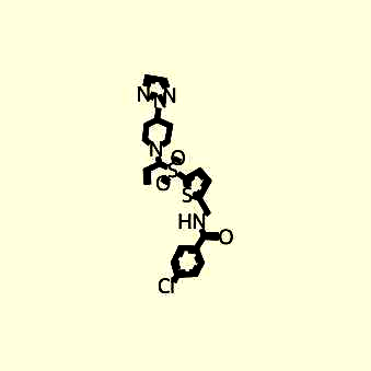 C=CC(N1CCC(n2nccn2)CC1)S(=O)(=O)c1ccc(CNC(=O)c2ccc(Cl)cc2)s1